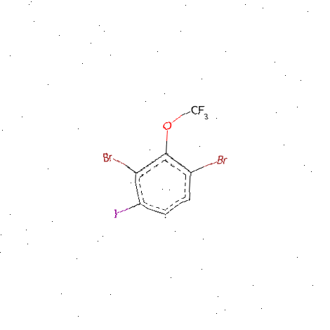 FC(F)(F)Oc1c(Br)c[c]c(I)c1Br